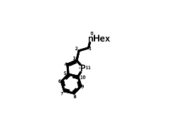 CCCCCCCCC1=Cc2ccccc2[P]1